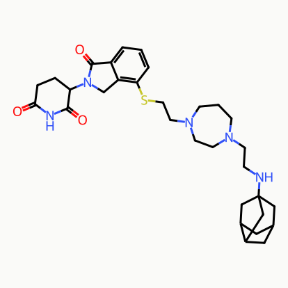 O=C1CCC(N2Cc3c(SCCN4CCCN(CCNC56CC7CC(C5)C(C7)C6)CC4)cccc3C2=O)C(=O)N1